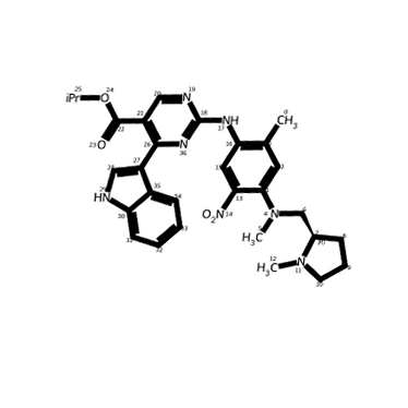 Cc1cc(N(C)C[C@H]2CCCN2C)c([N+](=O)[O-])cc1Nc1ncc(C(=O)OC(C)C)c(-c2c[nH]c3ccccc23)n1